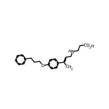 CC(=CCNCCC(=O)O)c1ccc(OCCCc2ccccc2)cc1